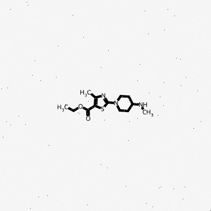 CCOC(=O)c1sc(N2CCC(NC)CC2)nc1C